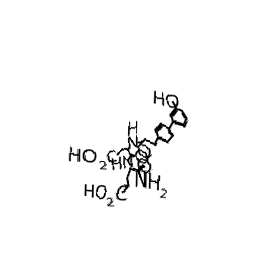 NC(=O)C(CCC(=O)O)NC(=O)C(CCC(=O)O)NC(=O)CCc1ccc(-c2cccc(O)c2)cc1